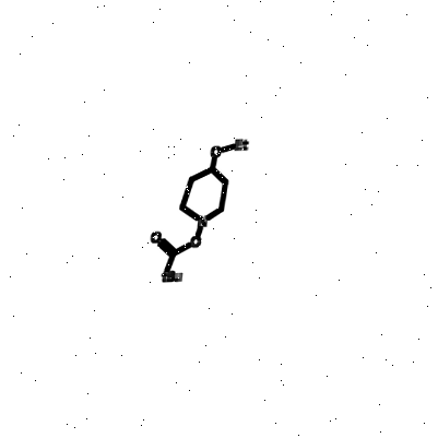 CCOC1CCN(OC(=O)C(C)(C)C)CC1